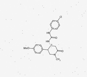 COc1ccc(C2CN(C)C(=O)C[C@H]2NC(=O)Nc2ccc(Cl)cc2)cc1